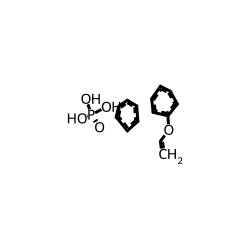 C=COc1ccccc1.O=P(O)(O)O.c1ccccc1